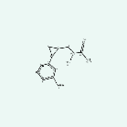 CSc1cccc(C2CC2CN(O)C(N)=O)c1